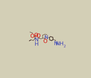 C=CCC(NC(=O)CC1CCCN(c2ccc(C=NN)cc2)C1=O)C(=O)OCC